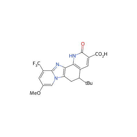 COc1cc(C(F)(F)F)c2nc3c(n2c1)CC(C(C)(C)C)c1cc(C(=O)O)c(=O)[nH]c1-3